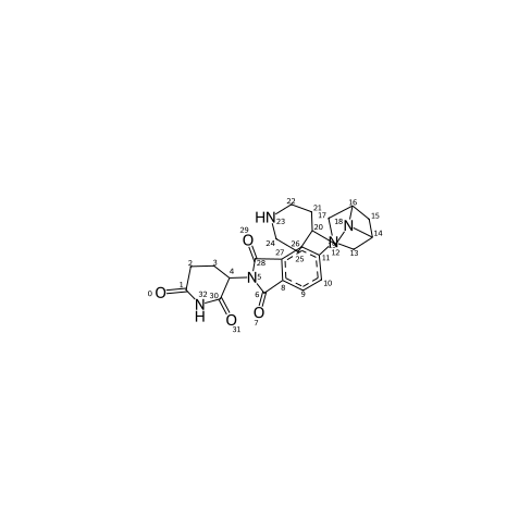 O=C1CCC(N2C(=O)c3ccc(N4CC5CC(C4)N5CC4CCNCC4)cc3C2=O)C(=O)N1